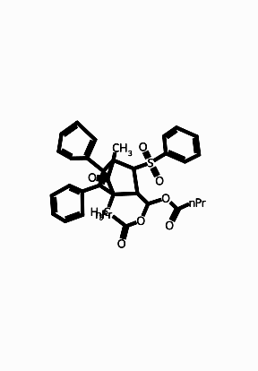 CCCC(=O)OC(OC(=O)CCC)C1C(S(=O)(=O)c2ccccc2)C2(C)C(=O)C1(C)C(c1ccccc1)=C2c1ccccc1